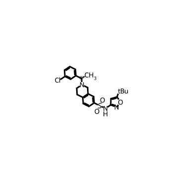 C[C@H](c1cccc(Cl)c1)N1CCc2ccc(S(=O)(=O)Nc3cc(C(C)(C)C)on3)cc2C1